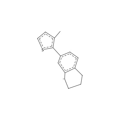 Cc1ccsc1-c1ccc2c(c1)[C]CCC2